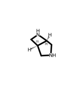 C1NC[C@@H]2NC[C@H]12